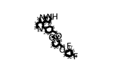 O=S(=O)(CC1CCC(c2nccc3cnc4[nH]ccc4c23)CC1)N1CCCC(COc2ccc(F)cc2F)C1